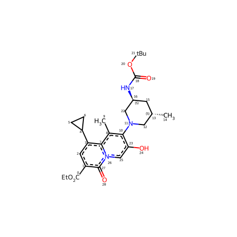 CCOC(=O)c1cc(C2CC2)c2c(C)c(N3C[C@@H](C)C[C@H](NC(=O)OC(C)(C)C)C3)c(O)cn2c1=O